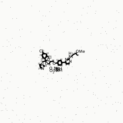 COC(C)CCNc1nccc(-c2ccc(OCC3COC(Cn4ccnc4)(c4ccc(Cl)cc4Cl)O3)cc2)n1.O=[N+]([O-])O.O=[N+]([O-])O